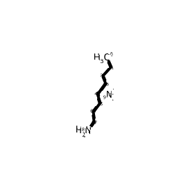 CCCCCCCCN.[N]